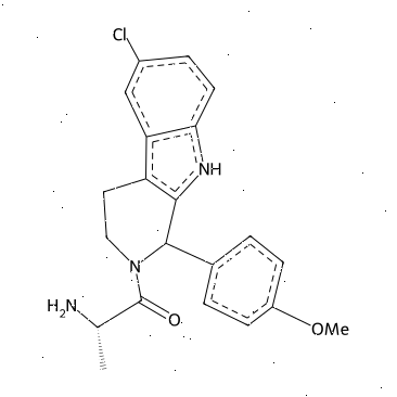 COc1ccc(C2c3[nH]c4ccc(Cl)cc4c3CCN2C(=O)[C@H](C)N)cc1